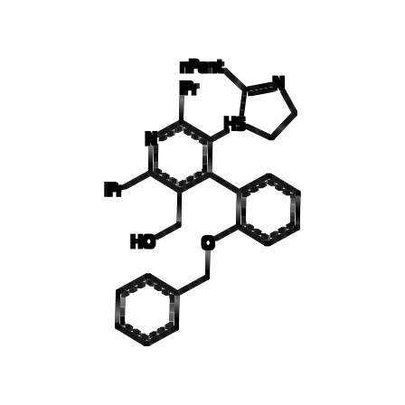 CCCCCC1=NCC[SH]1c1c(C(C)C)nc(C(C)C)c(CO)c1-c1ccccc1OCc1ccccc1